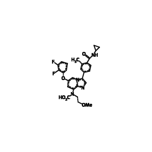 COCCN(C(=O)O)c1cc(Oc2cccc(F)c2F)cn2c(-c3ccc(C(=O)NC4CC4)c(C)c3)cnc12